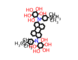 C[Si](C)(C)c1ccc(N(c2c(O)c(O)c(O)c(O)c2O)c2ccc3c4cccc5c(N(c6ccc([Si](C)(C)C)cc6)c6c(O)c(O)c(O)c(O)c6O)ccc(c6cccc2c63)c54)cc1